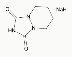 O=c1[nH]c(=O)n2n1CCCC2.[NaH]